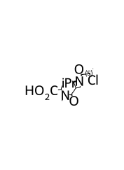 CC(C)C(C(=O)O)N(C)C(=O)C1CN(C(=O)[C@H](C)Cl)C1